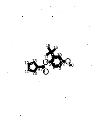 COc1ccc(OC(=O)C2CCCC2)c(C(C)(C)C)c1